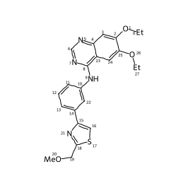 CCOc1cc2ncnc(Nc3cccc(-c4csc(COC)n4)c3)c2cc1OCC